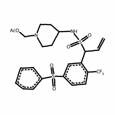 C=CC(c1cc(S(=O)(=O)c2ccccc2)ccc1C(F)(F)F)S(=O)(=O)NC1CCN(COC(C)=O)CC1